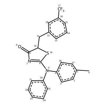 Cc1ccc(N(C2=NC(=O)C(Cc3cccc(C(F)(F)F)c3)S2)c2ccccc2)cc1